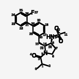 CC(C)C(=O)N1CC[C@H](NS(C)(=O)=O)[C@@H]1Cc1cccc(-c2ccccc2F)c1